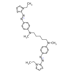 CC[n+]1ccsc1/N=N/c1ccc(N(C)CCCCCN(C)c2ccc(/N=N/c3scc[n+]3CC)cc2)cc1